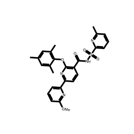 COc1cccc(-c2ccc(C(=O)NS(=O)(=O)c3cccc(C)n3)c(Oc3c(C)cc(C)cc3C)n2)n1